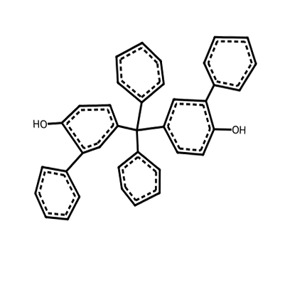 Oc1ccc(C(c2ccccc2)(c2ccccc2)c2ccc(O)c(-c3ccccc3)c2)cc1-c1ccccc1